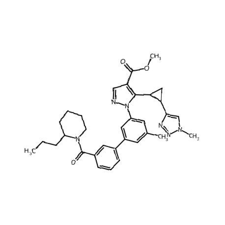 CCCC1CCCCN1C(=O)c1cccc(-c2cc(C)cc(-n3ncc(C(=O)OC)c3C3CC3c3cn(C)nn3)c2)c1